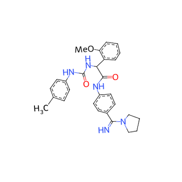 COc1ccccc1C(NC(=O)Nc1ccc(C)cc1)C(=O)Nc1ccc(C(=N)N2CCCC2)cc1